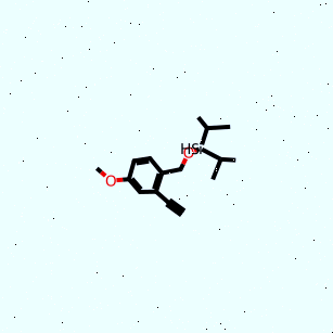 C#Cc1cc(OC)ccc1CO[SiH](C(C)C)C(C)C